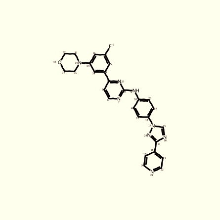 Fc1cc(-c2ccnc(Nc3ccc(-n4cnc(-c5ccncc5)n4)cc3)n2)cc(N2CCOCC2)c1